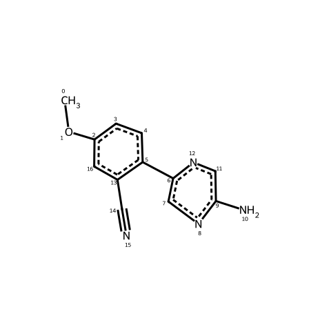 COc1ccc(-c2cnc(N)cn2)c(C#N)c1